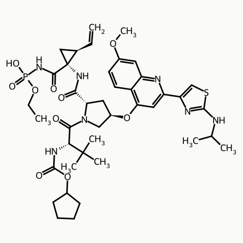 C=C[C@@H]1C[C@]1(NC(=O)[C@@H]1C[C@@H](Oc2cc(-c3csc(NC(C)C)n3)nc3cc(OC)ccc23)CN1C(=O)[C@@H](NC(=O)OC1CCCC1)C(C)(C)C)C(=O)NP(=O)(O)OCC